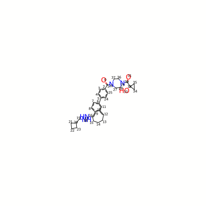 O=C(c1ccc(-c2ccc3c(c2)=CCCCC=3NNCC2CCC2)cc1)N1CCN(C(=O)C2(O)CC2)CC1